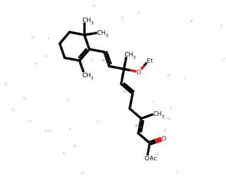 CCOC(C)(/C=C/C/C(C)=C/C(=O)OC(C)=O)/C=C/C1=C(C)CCCC1(C)C